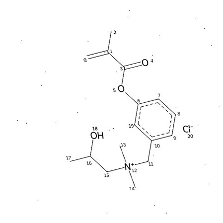 C=C(C)C(=O)Oc1cccc(C[N+](C)(C)CC(C)O)c1.[Cl-]